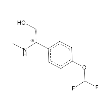 CN[C@H](CO)c1ccc(OC(F)F)cc1